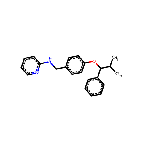 CC(C)C(Oc1ccc(CNc2ccccn2)cc1)c1ccccc1